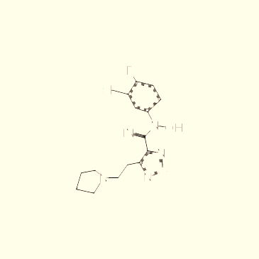 N=C(c1nonc1CCN1CCCC1)N(O)c1ccc(F)c(Cl)c1